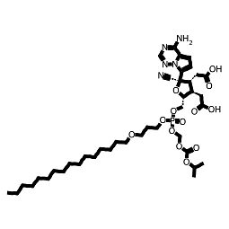 CCCCCCCCCCCCCCCCOCCCOP(=O)(OCOC(=O)OC(C)C)OC[C@@H]1O[C@@](C#N)(c2ccc3c(N)ncnn23)[C@H](CC(=O)O)[C@H]1CC(=O)O